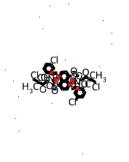 CC(C)(CCl)C(=O)C(Oc1ccc(Cl)cc1)(OS(=O)(=O)c1cccc2c(S(=O)(=O)OC(Oc3ccc(Cl)cc3)(C(=O)C(C)(C)CCl)n3ccnc3)cccc12)n1ccnc1